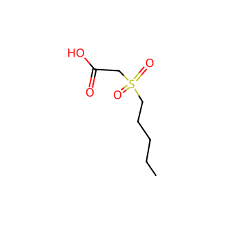 CCCCCS(=O)(=O)CC(=O)O